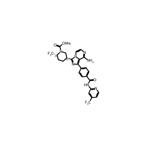 COC(=O)N1C[C@@H](c2nc(-c3ccc(C(=O)Nc4cc(C(F)(F)F)ccn4)cc3)c3c(N)nccn23)CC[C@@H]1C(F)(F)F